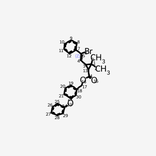 CC1(C)C(/C=C(\Br)c2ccccc2)C1C(=O)OCc1cccc(Oc2ccccc2)c1